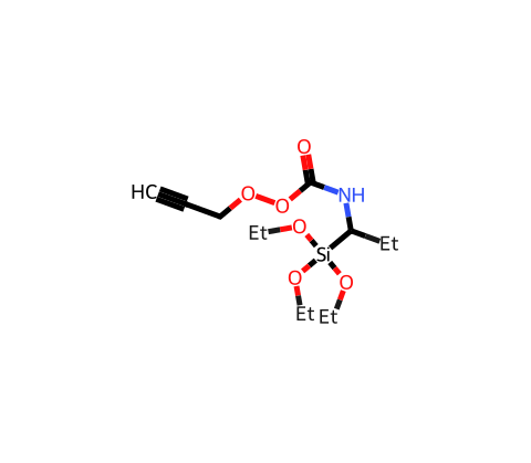 C#CCOOC(=O)NC(CC)[Si](OCC)(OCC)OCC